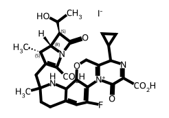 CC(O)[C@H]1C(=O)N2C(C(=O)O)=C(CC3(C)CCC4=CC(F)=C5C(OCC6=[N+]5C(=O)C(C(=O)O)=NC6C5CC5)C4N3)[C@H](C)[C@H]12.[I-]